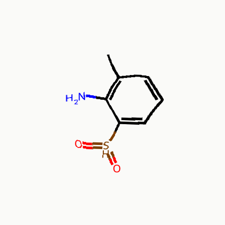 Cc1cccc([SH](=O)=O)c1N